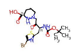 CC(C)(C)OC(=O)N[C@@H](Cc1nc(Br)cs1)C(=O)CN1CCC[C@@H](C(=O)O)N1